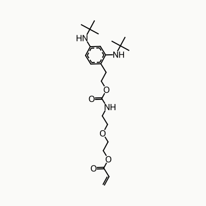 C=CC(=O)OCCOCCNC(=O)OCCc1ccc(NC(C)(C)C)cc1NC(C)(C)C